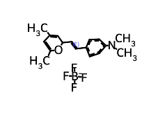 CC1=CC(/C=C/c2ccc(N(C)C)cc2)OC(C)=C1.F[B-](F)(F)F